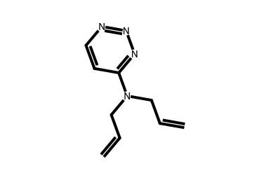 C=CCN(CC=C)c1ccnnn1